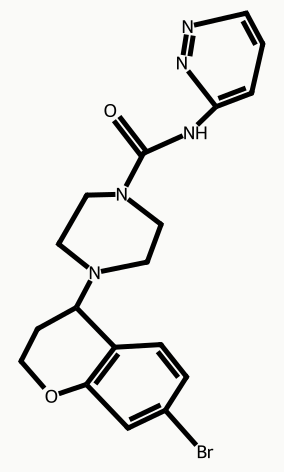 O=C(Nc1cccnn1)N1CCN(C2CCOc3cc(Br)ccc32)CC1